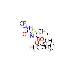 Cc1sc(C(=O)NCC(F)(F)F)nc1B1OC(C)(C)C(C)(C)O1